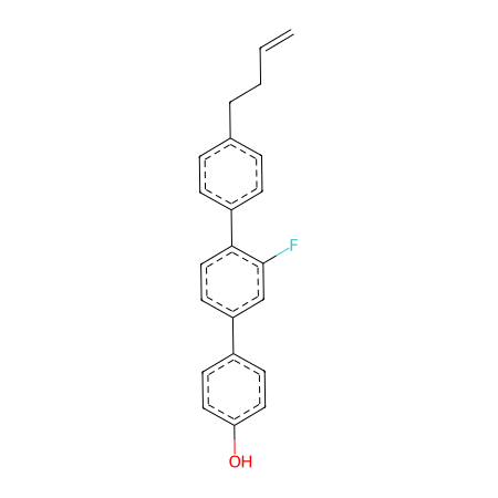 C=CCCc1ccc(-c2ccc(-c3ccc(O)cc3)cc2F)cc1